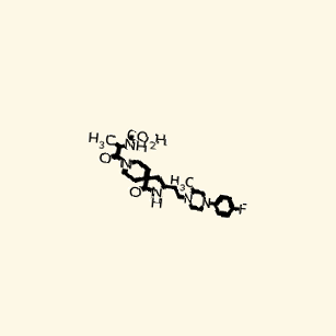 CC(NC(=O)O)C(=O)N1CCC2(CC1)CC(CCN1CCN(c3ccc(F)cc3)CC1C)NC2=O